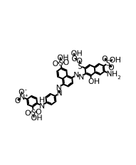 Nc1cc2c(O)c(N=Nc3ccc(N=Nc4ccc(Nc5ccc([N+](=O)[O-])cc5S(=O)(=O)O)cc4)c4ccc(S(=O)(=O)O)cc34)c(SOOO)cc2cc1S(=O)(=O)O